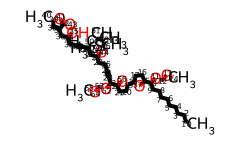 CCCCCCCCCCC(OCOC)C1CCC(C2CCC(C(C#CCCC(CCC#CCC(O)CC3=CC(C)OC3=O)O[Si](C)(C)C(C)(C)C)OCOC)O2)O1